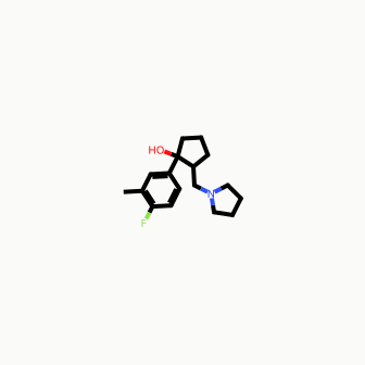 Cc1cc(C2(O)CCCC2CN2CCCC2)ccc1F